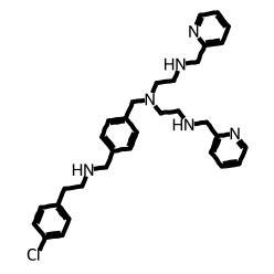 Clc1ccc(CCNCc2ccc(CN(CCNCc3ccccn3)CCNCc3ccccn3)cc2)cc1